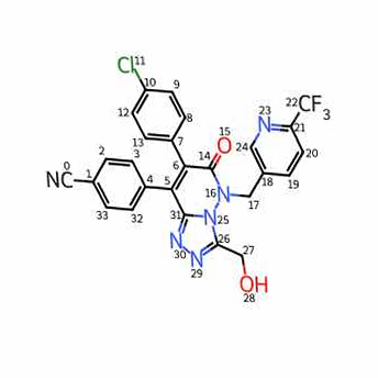 N#Cc1ccc(-c2c(-c3ccc(Cl)cc3)c(=O)n(Cc3ccc(C(F)(F)F)nc3)n3c(CO)nnc23)cc1